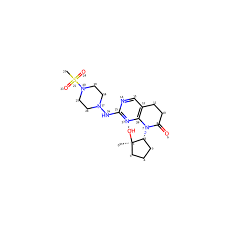 C[C@@]1(O)CCC[C@H]1N1C(=O)CCc2cnc(NN3CCN(S(C)(=O)=O)CC3)nc21